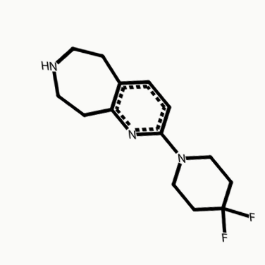 FC1(F)CCN(c2ccc3c(n2)CCNCC3)CC1